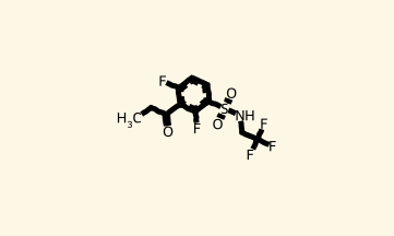 CCC(=O)c1c(F)ccc(S(=O)(=O)NCC(F)(F)F)c1F